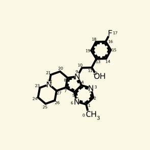 Cc1cnc2c(n1)c1c(n2CC(O)c2ccc(F)cc2)CCN2CCCCC12